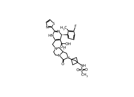 Cc1c(F)cccc1[C@@H]1N=C(c2nccs2)NC(CN2CCN3C(=O)N(C45CC(NS(C)(=O)=O)(C4)C5)C[C@@H]3C2)=C1C(=O)O